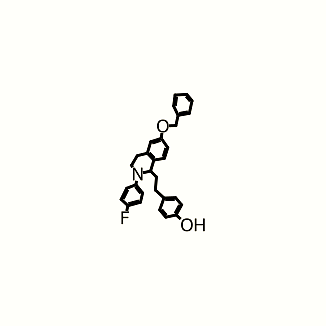 Oc1ccc(CCC2c3ccc(OCc4ccccc4)cc3CCN2c2ccc(F)cc2)cc1